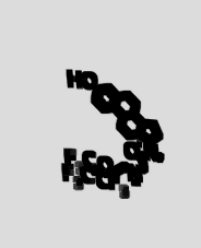 CN(CCOC(C(F)(F)F)(C(F)(F)F)C(F)(F)F)CC(=O)N(C)[C@H]1CCC2C3CCc4cc(O)ccc4C3CC[C@@]21C